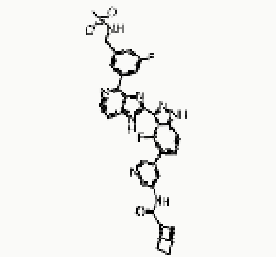 CS(=O)(=O)NCc1cc(F)cc(-c2nccc3[nH]c(-c4n[nH]c5ccc(-c6cncc(NC(=O)C7=C8CCC8=C7)c6)c(F)c45)nc23)c1